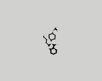 CCCCc1nc2ccccc2c(=O)n1C1CCC(NC(=O)O)CC1